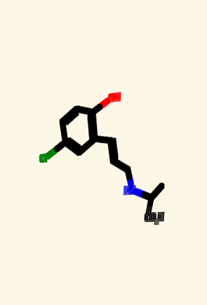 CC(NC/C=C/c1cc(Cl)ccc1O)C(=O)O